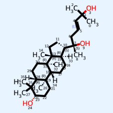 CC(C)(O)/C=C/C[C@](C)(O)[C@H]1CC[C@]2(C)[C@@H]1CC[C@@H]1[C@@]3(C)CC[C@H](O)C(C)(C)[C@@H]3CC[C@]12C